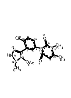 CC(=O)ON1C(c2cc(-n3c(=O)cc(C(F)(F)F)n(C)c3=O)ccc2Cl)=NNN1C